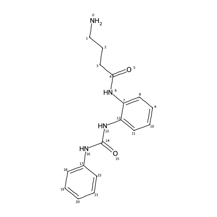 NCCCC(=O)Nc1ccccc1NC(=O)Nc1ccccc1